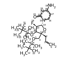 C=CC[C@]1(CO[Si](C)(C)C(C)(C)C)O[C@@H](n2ccc(N)nc2=O)[C@H](F)C1O[Si](C)(C)C(C)(C)C